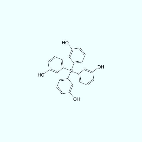 Oc1cccc([Si](c2cccc(O)c2)(c2cccc(O)c2)c2cccc(O)c2)c1